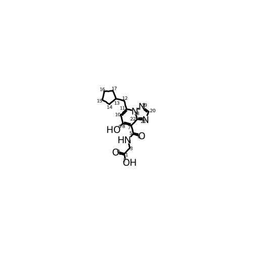 O=C(O)CNC(=O)c1c(O)cc(CC2CCCC2)n2ncnc12